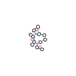 c1ccc(-c2ccc(N(c3cc4c5cc(N(c6ccc(-c7ccccc7)cc6)c6cccc7c6oc6ccccc67)c6ccccc6c5oc4c4ccccc34)c3cccc4c3oc3ccccc34)cc2)cc1